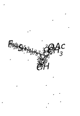 CC(=O)O[C@H]1CCC2C3C(CCCCCCCCCSCCCCF)Cc4cc(O)ccc4C3CC[C@@]21C